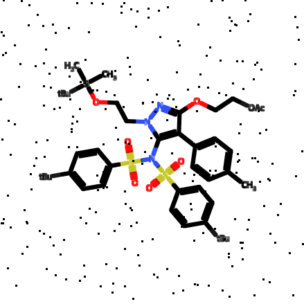 CC(=O)OCCOc1nn(CCO[Si](C)(C)C(C)(C)C)c(N(S(=O)(=O)c2ccc(C(C)(C)C)cc2)S(=O)(=O)c2ccc(C(C)(C)C)cc2)c1-c1ccc(C)cc1